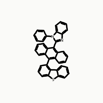 c1ccc(-n2c(-c3c4ccccc4c(-c4cccc5sc6ccccc6c45)c4ccccc34)nc3ccccc32)cc1